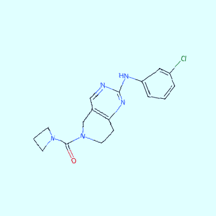 O=C(N1CCC1)N1CCc2nc(Nc3cccc(Cl)c3)ncc2C1